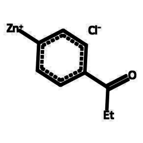 CCC(=O)c1cc[c]([Zn+])cc1.[Cl-]